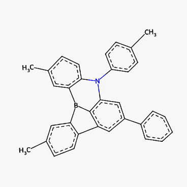 Cc1ccc(N2c3ccc(C)cc3B3c4cc(C)ccc4-c4cc(-c5ccccc5)cc2c43)cc1